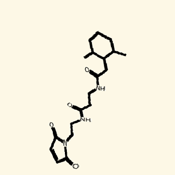 CC1CCCC(C)C1CC(=O)NCCC(=O)NCCN1C(=O)C=CC1=O